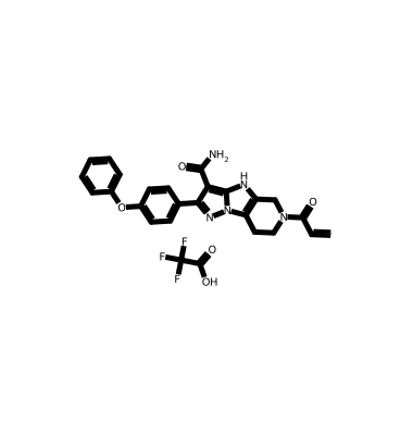 C=CC(=O)N1CCc2c([nH]c3c(C(N)=O)c(-c4ccc(Oc5ccccc5)cc4)nn23)C1.O=C(O)C(F)(F)F